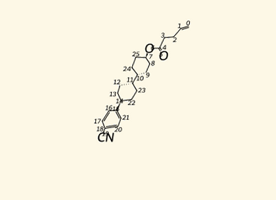 C=CCCC(=O)O[C@H]1CC[C@H]([C@H]2CC[C@H](c3ccc(C#N)cc3)CC2)CC1